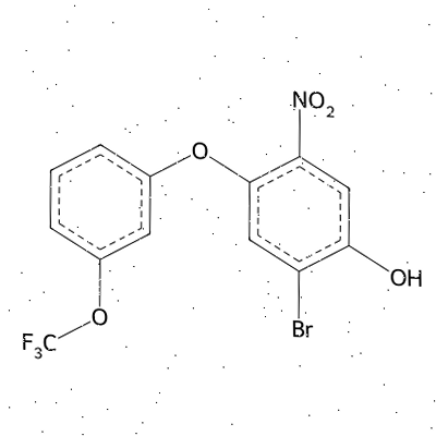 O=[N+]([O-])c1cc(O)c(Br)cc1Oc1cccc(OC(F)(F)F)c1